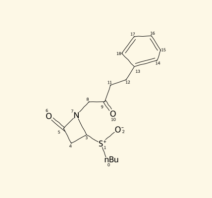 CCCC[S+]([O-])C1CC(=O)N1CC(=O)CCc1ccccc1